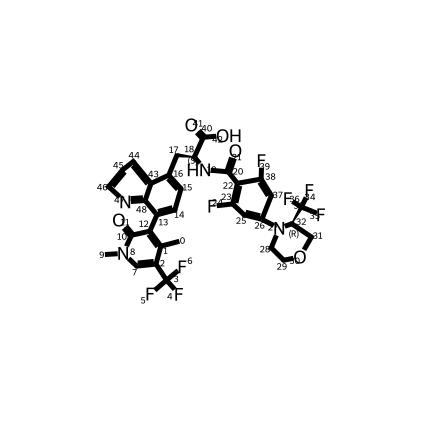 Cc1c(C(F)(F)F)cn(C)c(=O)c1-c1ccc(C[C@H](NC(=O)c2c(F)cc(N3CCOC[C@@H]3C(F)(F)F)cc2F)C(=O)O)c2cccnc12